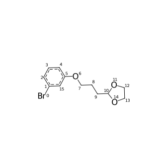 Brc1cccc(OCCCC2OCCO2)c1